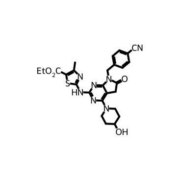 CCOC(=O)c1sc(Nc2nc(N3CCC(O)CC3)c3c(n2)N(Cc2ccc(C#N)cc2)C(=O)C3)nc1C